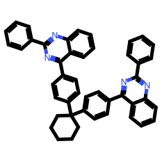 c1ccc(-c2nc(-c3ccc(C4(c5ccc(-c6nc(-c7ccccc7)nc7ccccc67)cc5)CCCCC4)cc3)c3ccccc3n2)cc1